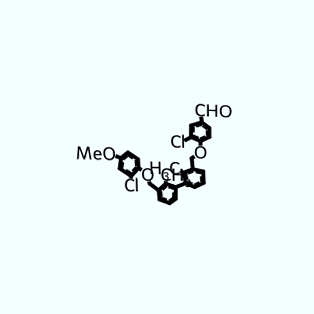 COc1ccc(OCc2cccc(-c3cccc(COc4ccc(C=O)cc4Cl)c3C)c2C)c(Cl)c1